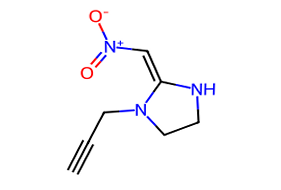 C#CCN1CCN/C1=C/[N+](=O)[O-]